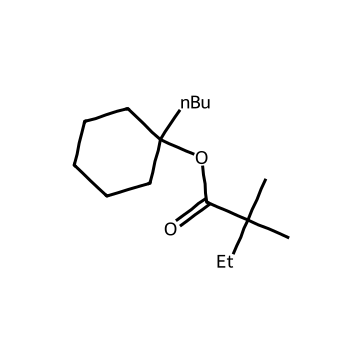 CCCCC1(OC(=O)C(C)(C)CC)CCCCC1